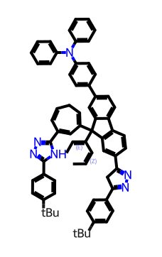 C/C=C\C(=C/C)C1(C2=CCC=CC(c3nnc(-c4ccc(C(C)(C)C)cc4)[nH]3)=C2)c2cc(C3=NN=C(c4ccc(C(C)(C)C)cc4)C3)ccc2-c2ccc(-c3ccc(N(c4ccccc4)c4ccccc4)cc3)cc21